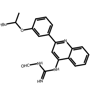 CC(Oc1cccc(-c2cc(NC(=N)NC=O)c3ccccc3n2)c1)C(C)(C)C